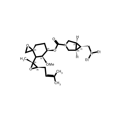 CCN(CC)C[C@@H]1[C@H]2CN(C(=O)O[C@@H]3CC[C@]4(CO4)C([C@@]4(C)O[C@@H]4CC=C(C)C)[C@@H]3OC)C[C@@H]12